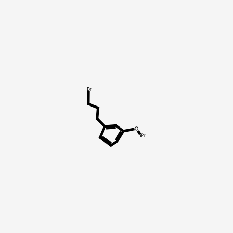 CC(C)Oc1cccc(CCCBr)c1